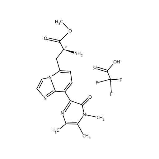 COC(=O)[C@@H](N)Cc1ccc(-c2nc(C)c(C)n(C)c2=O)c2nccn12.O=C(O)C(F)(F)F